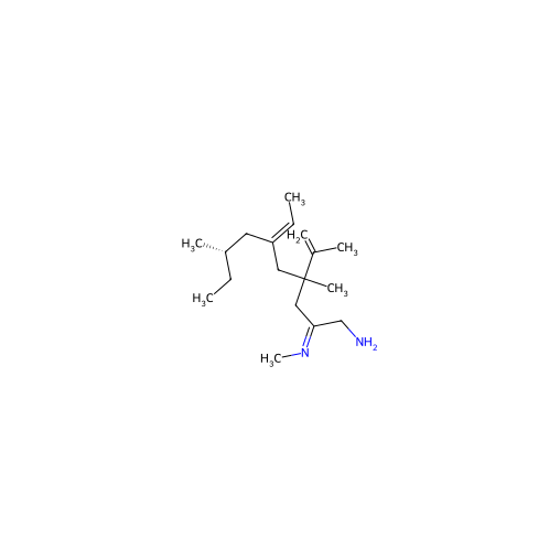 C=C(C)C(C)(C/C(=C/C)C[C@@H](C)CC)C/C(CN)=N\C